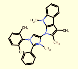 Cc1cccc(C)c1-n1cc(-n2c(C)c(C)c3c4ccccc4n(C)c32)[n+](C)c1-c1ccccc1